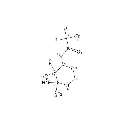 CCC(C)(C)C(=O)OC1OCOC(O)(C(F)(F)F)C1(F)F